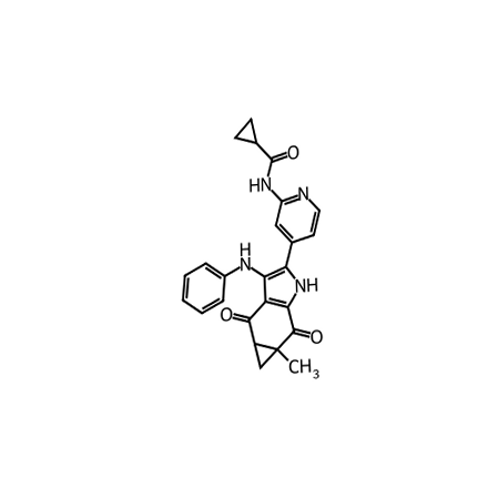 CC12CC1C(=O)c1c([nH]c(-c3ccnc(NC(=O)C4CC4)c3)c1Nc1ccccc1)C2=O